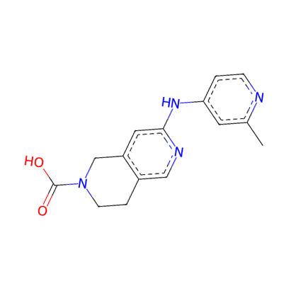 Cc1cc(Nc2cc3c(cn2)CCN(C(=O)O)C3)ccn1